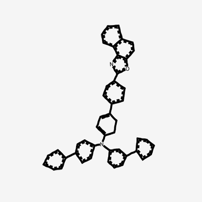 C1=C(c2ccc(-c3nc4c(ccc5ccccc54)o3)cc2)CCC(N(c2ccc(-c3ccccc3)cc2)c2cccc(-c3ccccc3)c2)=C1